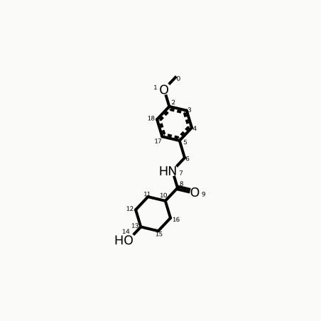 COc1ccc(CNC(=O)C2CCC(O)CC2)cc1